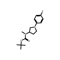 CN(C(=O)OC(C)(C)C)C1CCN(c2ccc(F)cc2)C1